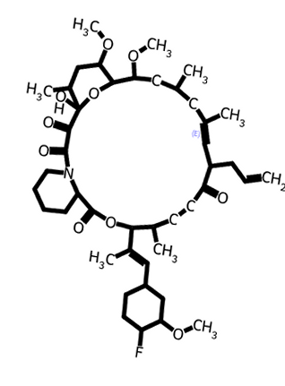 C=CCC1/C=C(\C)CC(C)CC(OC)C2OC(O)(C(=O)C(=O)N3CCCCC3C(=O)OC(C(C)=CC3CCC(F)C(OC)C3)C(C)CCC1=O)C(C)CC2OC